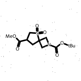 COC(=O)C1CC2(CN(C(=O)OC(C)(C)C)C2)S(=O)(=O)C1